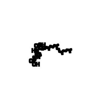 C/C(=C\CSC[C@H](Nc1ccnc(N(C)CC(=O)O)n1)C(=O)O)CCCC(C)CCCC(C)CCCC(C)C